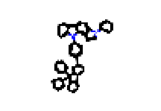 c1ccc(-n2ccc3c2ccc2c4ccccc4n(-c4ccc(-c5ccc6c(c5)C(c5ccccc5)(c5ccccc5)c5ccccc5-6)cc4)c23)cc1